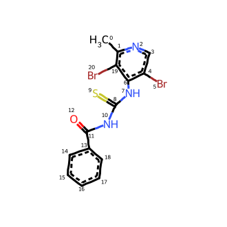 Cc1ncc(Br)c(NC(=S)NC(=O)c2ccccc2)c1Br